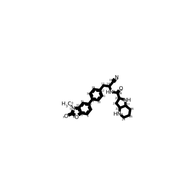 Cn1c(=O)oc2ccc(-c3ccc(CC(C#N)NC(=O)C4CC5NCCCC5N4)cc3)cc21